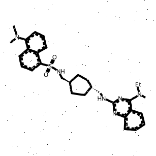 CCN(C)c1nc(NC[C@H]2CC[C@H](CNS(=O)(=O)c3cccc4c(N(C)C)cccc34)CC2)nc2ccccc12